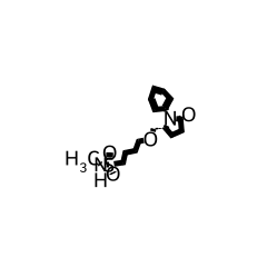 CNS(=O)(=O)CCCCOC[C@H]1CCC(=O)N1c1ccccc1